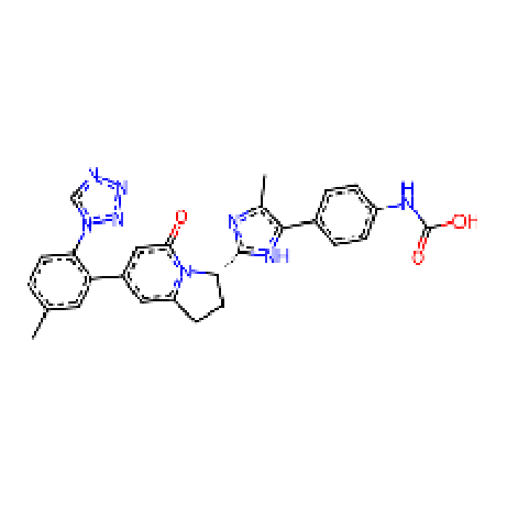 Cc1ccc(-n2cnnn2)c(-c2cc3n(c(=O)c2)[C@H](c2nc(C)c(-c4ccc(NC(=O)O)cc4)[nH]2)CC3)c1